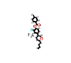 C=CCCC1CCC(c2ccc(OC(=O)c3ccc(C)cc3)c(F)c2C(F)(F)F)CO1